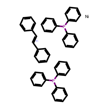 C(=C\c1ccccc1)/c1ccccc1.[Ni].c1ccc(P(c2ccccc2)c2ccccc2)cc1.c1ccc(P(c2ccccc2)c2ccccc2)cc1